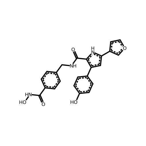 O=C(NO)c1ccc(CNC(=O)c2[nH]c(-c3ccoc3)cc2-c2ccc(O)cc2)cc1